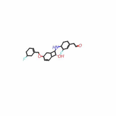 O=CCC1=CC(F)C(NC2C3CC(OCC4=CCCC(F)C4)C=CC3[C@H]2O)CC1